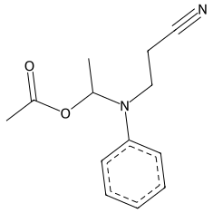 CC(=O)OC(C)N(CCC#N)c1ccccc1